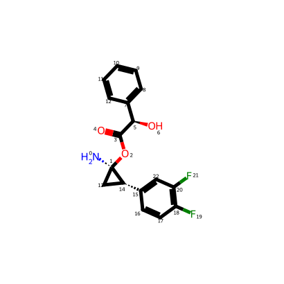 N[C@@]1(OC(=O)[C@H](O)c2ccccc2)C[C@H]1c1ccc(F)c(F)c1